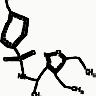 CCc1onc(C(C)NS(=O)(=O)c2ccc(Cl)cc2)c1CC